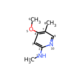 CNc1cc(OC)c(C)cn1